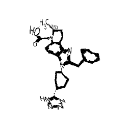 C[C@H]1CCc2c(ccc3c2nc(Cc2ccccc2)n3[C@H]2CC[C@@H](c3nnn[nH]3)CC2)N1C(=O)O